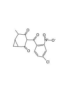 CC1C(=O)C(C(=O)c2ccc(Cl)cc2[N+](=O)[O-])C(=O)C2CC12